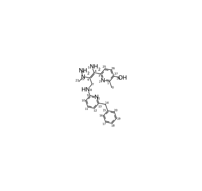 Cc1nc(/C(N)=C(\CNc2cccc(Cc3ccccc3)n2)N(C)N)ccc1O